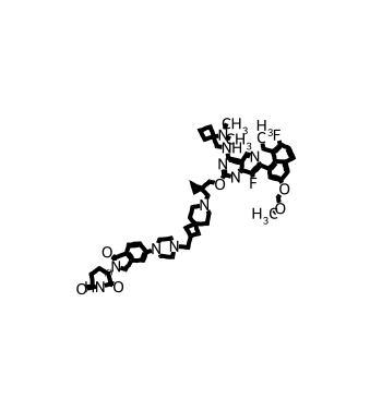 CCc1c(F)ccc2cc(OCOC)cc(-c3ncc4c(NCC5(N(C)C)CCC5)nc(OCC5(CN6CCC7(CC6)CC(CN6CCN(c8ccc9c(c8)CN([C@H]8CCC(=O)NC8=O)C9=O)CC6)C7)CC5)nc4c3F)c12